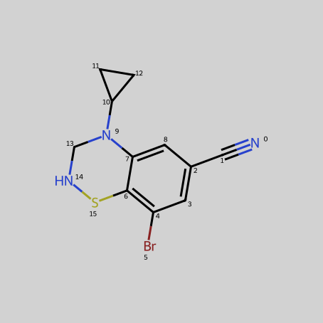 N#Cc1cc(Br)c2c(c1)N(C1CC1)CNS2